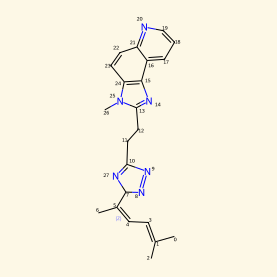 CC(C)=C/C=C(/C)C1N=NC(CCc2nc3c4cccnc4ccc3n2C)=N1